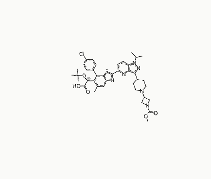 COC(=O)N1CC(N2CCC(c3nn(C(C)C)c4ccc(-c5nc6cc(C)c([C@H](OC(C)(C)C)C(=O)O)c(-c7ccc(Cl)cc7)c6s5)nc34)CC2)C1